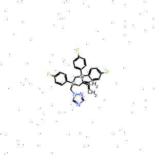 C=CC[Si](Cn1cncn1)(C[Si](CC=C)(c1ccc(F)cc1)c1ccc(F)cc1)c1ccc(F)cc1